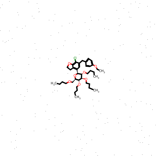 CCCCOC[C@H]1O[C@@H](c2cc(Cc3ccc(OCC)cc3)c(Cl)c3c2CCO3)[C@H](OCCCC)[C@@H](OCCCC)[C@@H]1OCCCC